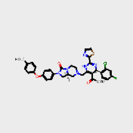 COC(=O)C1=C(CN2CCN3C(=O)N(c4ccc(Oc5ccc(C(=O)O)cc5)cc4)C[C@@H]3C2)NC(c2nccs2)=N[C@H]1c1ccc(F)cc1Cl